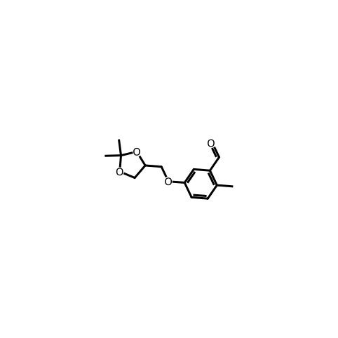 Cc1ccc(OCC2COC(C)(C)O2)cc1C=O